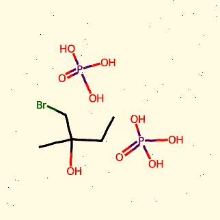 CCC(C)(O)CBr.O=P(O)(O)O.O=P(O)(O)O